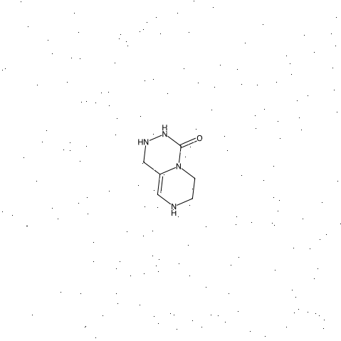 O=C1NNCC2=CNCCN12